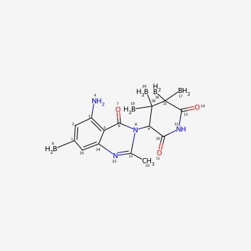 Bc1cc(N)c2c(=O)n(C3C(=O)NC(=O)C(B)(B)C3(B)B)c(C)nc2c1